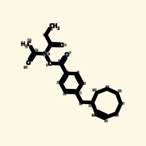 CCC(=O)N(OC(=O)c1ccc(CC2C#CCCCCC2)cc1)C(C)=O